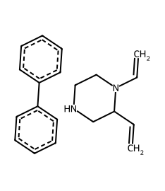 C=CC1CNCCN1C=C.c1ccc(-c2ccccc2)cc1